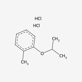 Cc1ccccc1OC(C)C.Cl.Cl